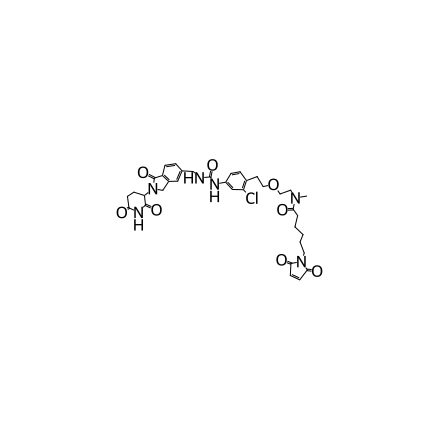 CN(CCOCCc1ccc(NC(=O)NCc2ccc3c(c2)CN(C2CCC(=O)NC2=O)C3=O)cc1Cl)C(=O)CCCCCN1C(=O)C=CC1=O